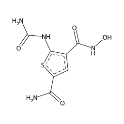 NC(=O)Nc1sc(C(N)=O)cc1C(=O)NO